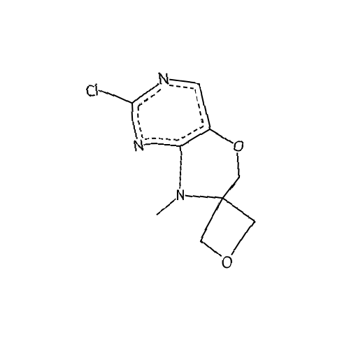 CN1c2nc(Cl)ncc2OCC12COC2